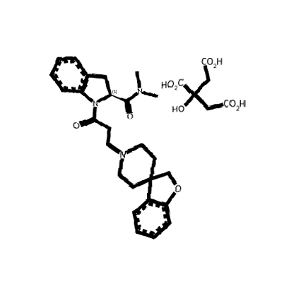 CN(C)C(=O)[C@@H]1Cc2ccccc2N1C(=O)CCN1CCC2(CC1)COc1ccccc12.O=C(O)CC(O)(CC(=O)O)C(=O)O